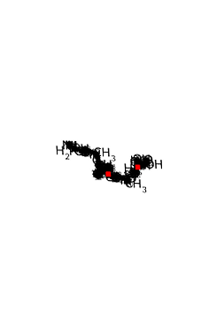 CN(COc1ccc(P(=N[PH](=S)Oc2ccc(C=NN(C)[PH](=S)Oc3ccc(CCN(CP(=O)(O)O)CP(=O)(O)O)cc3)cc2)(c2ccccc2)c2ccccc2)cc1)N=Cc1ccc(OPP(P)N=[N+]=[N-])cc1